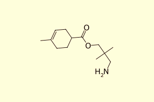 CC1=CCC(C(=O)OCC(C)(C)CN)CC1